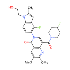 COc1cc2c(=O)n(-c3ccc4c(cc(C)n4CCO)c3F)cc(C(=O)N3CCC(F)CC3)c2nc1OC